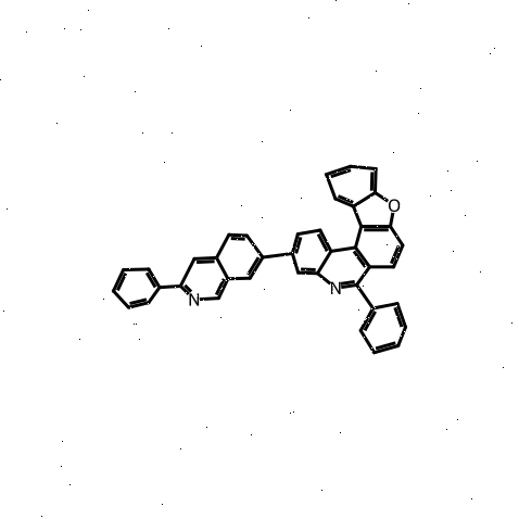 c1ccc(-c2cc3ccc(-c4ccc5c(c4)nc(-c4ccccc4)c4ccc6oc7ccccc7c6c45)cc3cn2)cc1